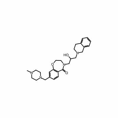 CN1CCN(Cc2ccc3c(c2)OCCN(CC(O)CN2CCc4ccccc4C2)C3=O)CC1